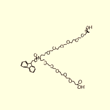 C=C(COCCOCCOCCOCCOCCOCCCN(CCOCCOCCOCCOCCOCCC(=O)O)C(=O)OCC1c2ccccc2-c2ccccc21)OO